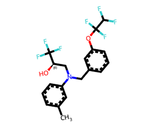 Cc1cccc(N(Cc2cccc(OC(F)(F)C(F)F)c2)C[C@@H](O)C(F)(F)F)c1